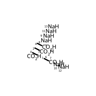 CC(=O)O.CC(=O)O.CC(=O)O.CC(=O)O.[NaH].[NaH].[NaH].[NaH].[NaH].[NaH]